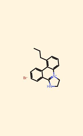 CCCc1cccc2c1c1ccccc1c1[n+]2CCN1.[Br-]